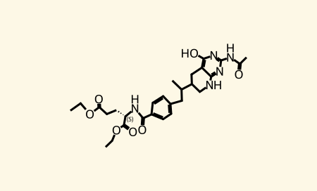 CCOC(=O)CC[C@H](NC(=O)c1ccc(CC(C)C2CNc3nc(NC(C)=O)nc(O)c3C2)cc1)C(=O)OCC